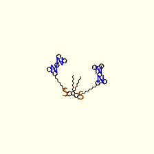 CCCCCCCCC1(CCCCCCCC)c2cc(SCCCCCCCCc3ccc4c(c3)c3ccccc3n4-c3ccc(-n4c5ccccc5c5ccccc54)cc3)c(C)cc2-c2cc(C)c(SCCCCCCCCc3ccc4c(c3)c3ccccc3n4-c3ccc(-n4c5ccccc5c5ccccc54)cc3)cc21